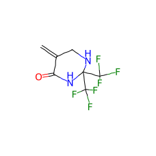 C=C1CNC(C(F)(F)F)(C(F)(F)F)NC1=O